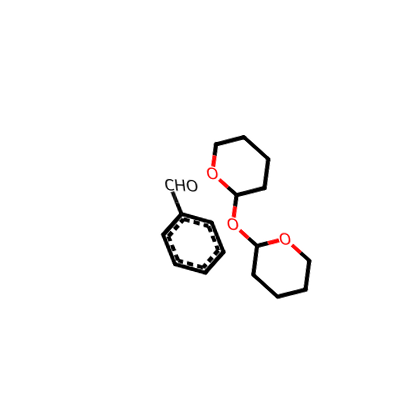 C1CCC(OC2CCCCO2)OC1.O=Cc1ccccc1